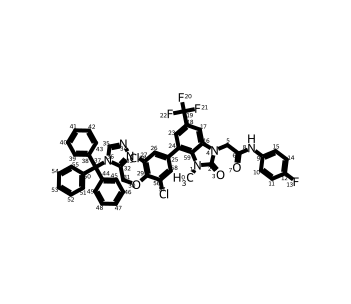 Cn1c(=O)n(CC(=O)Nc2ccc(F)cc2)c2cc(C(F)(F)F)cc(-c3cc(Cl)c(OCc4nncn4C(c4ccccc4)(c4ccccc4)c4ccccc4)c(Cl)c3)c21